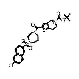 CC(C)(C)OC(=O)N1CCc2sc(C(=O)N3CCCN(S(=O)(=O)c4ccc5cc(Cl)ccc5c4)CC3)cc2C1